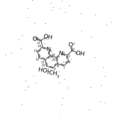 CO.O=C(O)c1ccc2ccc3ccc(C(=O)O)nc3c2n1